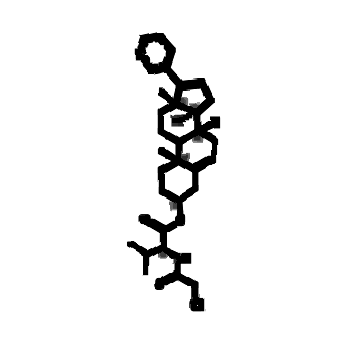 CC(C)[C@H](NC(=O)CCl)C(=O)O[C@H]1CC[C@@]2(C)C(=CC[C@@H]3C2CC[C@]2(C)C(c4cccnc4)=CC[C@@H]32)C1